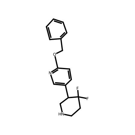 FC1(F)CCNCC1c1ccc(OCc2ccccc2)nc1